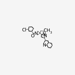 CC1CC2(CN(C(=O)c3cccc(Cl)c3)C2)c2cc(-c3cnc4ccccc4c3)nn21